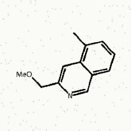 COCc1cc2c(C)cccc2cn1